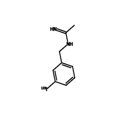 CC(=N)NCc1cccc([123I])c1